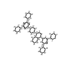 c1ccc(-c2cc(-c3ccc(-c4ccc(-c5nc(-c6ccccc6)nc(-c6ccccc6)n5)cc4)c4ccccc34)cc(-c3ccccc3)n2)cc1